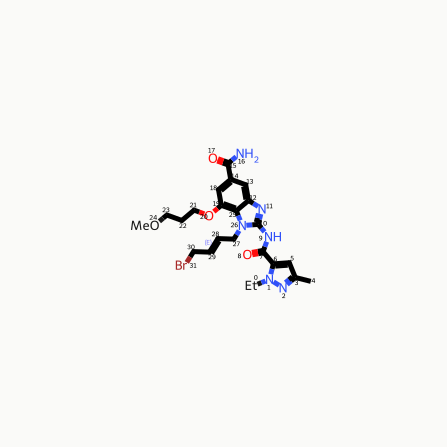 CCn1nc(C)cc1C(=O)Nc1nc2cc(C(N)=O)cc(OCCCOC)c2n1C/C=C/CBr